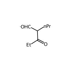 CCCC([C]=O)C(=O)CC